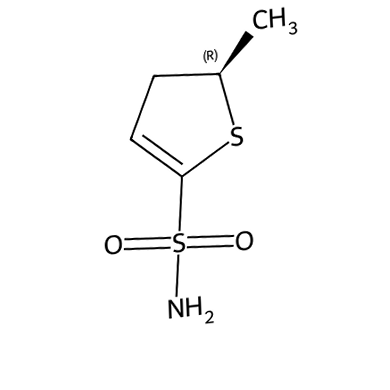 C[C@@H]1CC=C(S(N)(=O)=O)S1